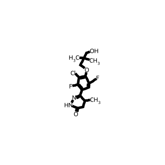 CC1CC(=O)NN=C1c1cc(F)c(OCC(C)(C)CO)c(Cl)c1F